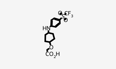 O=C(O)COC1CCC(Nc2ccc(S(=O)(=O)C(F)(F)F)cc2)CC1